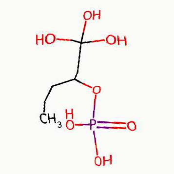 CCC(OP(=O)(O)O)C(O)(O)O